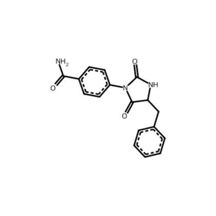 NC(=O)c1ccc(N2C(=O)NC(Cc3ccccc3)C2=O)cc1